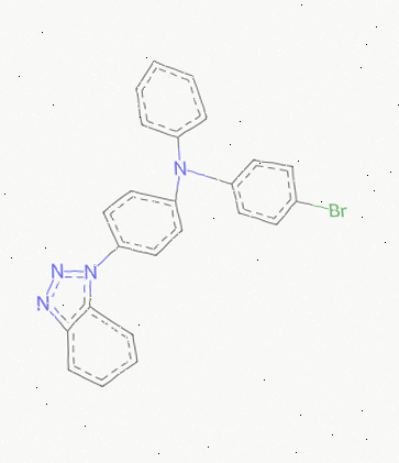 Brc1ccc(N(c2ccccc2)c2ccc(-n3nnc4ccccc43)cc2)cc1